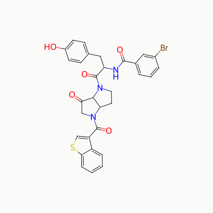 O=C(NC(Cc1ccc(O)cc1)C(=O)N1CCC2C1C(=O)CN2C(=O)c1csc2ccccc12)c1cccc(Br)c1